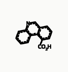 O=C(O)c1cccc2cnc3ccccc3c12